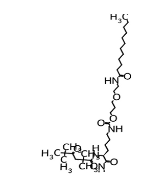 CCCCCCCCCCCC(=O)NCCOCCCOC(=O)NCCCC[C@H](NC(=O)C(C)(C)CC(=O)C(C)(C)C)C(N)=O